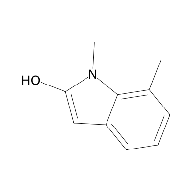 Cc1cccc2cc(O)n(C)c12